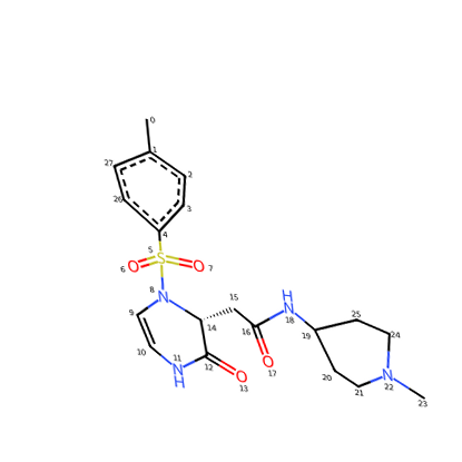 Cc1ccc(S(=O)(=O)N2C=CNC(=O)[C@H]2CC(=O)NC2CCN(C)CC2)cc1